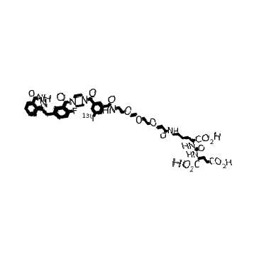 O=C(O)CCC(NC(=O)NC(CCCCNC(=O)CCOCCOCCOCCNC(=O)c1cc([131I])cc(C(=O)N2CCN(C(=O)c3cc(Cc4n[nH]c(=O)c5ccccc45)ccc3F)CC2)c1)C(=O)O)C(=O)O